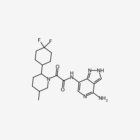 CC1CCC(C2CCC(F)(F)CC2)N(C(=O)C(=O)Nc2cnc(N)c3c[nH]nc23)C1